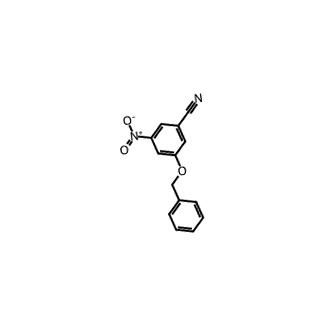 N#Cc1cc(OCc2ccccc2)cc([N+](=O)[O-])c1